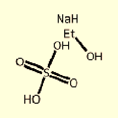 CCO.O=S(=O)(O)O.[NaH]